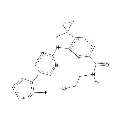 CN(CCN)C(=O)c1ccc2c(c1)N(c1ncc(-c3ccccc3F)cn1)CC21CC1